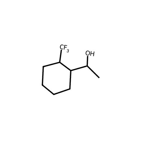 CC(O)C1CCCCC1C(F)(F)F